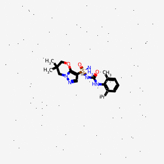 Cc1cccc(C(C)C)c1NC(=O)N=[S@](N)(=O)c1cnn2c1OCC(C)(C)C2